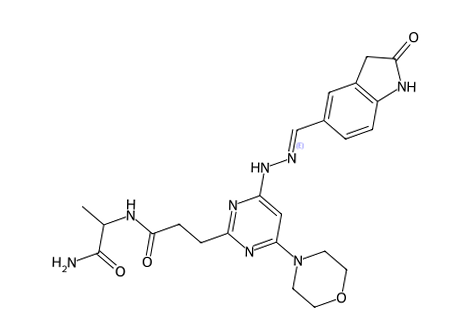 CC(NC(=O)CCc1nc(N/N=C/c2ccc3c(c2)CC(=O)N3)cc(N2CCOCC2)n1)C(N)=O